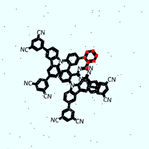 N#Cc1cc(C#N)cc(-c2ccc3c(c2)c2cc(-c4cc(C#N)cc(C#N)c4)ccc2n3-c2ccc(-c3ccccc3C#N)cc2-c2cccc(-n3c4ccc(-c5cc(C#N)cc(C#N)c5)cc4c4cc(-c5cc(C#N)cc(C#N)c5)ccc43)c2-c2nc(-c3ccccc3)nc(-c3ccccc3)n2)c1